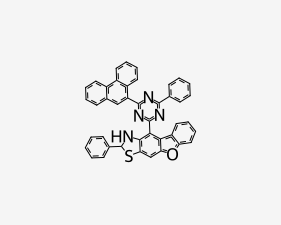 c1ccc(-c2nc(-c3cc4ccccc4c4ccccc34)nc(-c3c4c(cc5oc6ccccc6c35)SC(c3ccccc3)N4)n2)cc1